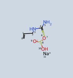 C=CCNC(N)=S.O=S([O-])O.[Na+]